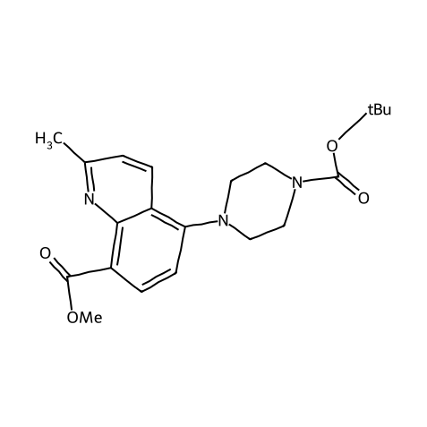 COC(=O)c1ccc(N2CCN(C(=O)OC(C)(C)C)CC2)c2ccc(C)nc12